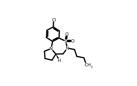 CCCCN1C[C@@H]2CCCN2c2ccc(Cl)cc2S1(=O)=O